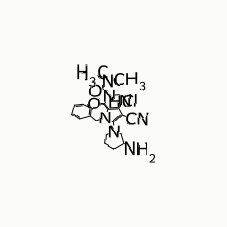 CN(C)C(=O)n1cnc2c(C#N)c(N3CCCC(N)C3)n(Cc3ccccc3)c2c1=O.Cl